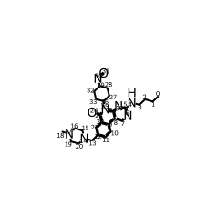 CCCCNc1ncc2c3ccc(CN4CCN(C)CC4)cc3c(=O)n(C3CCC(N=O)CC3)c2n1